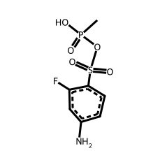 CP(=O)(O)OS(=O)(=O)c1ccc(N)cc1F